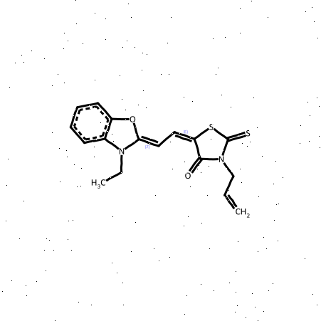 C=CCN1C(=O)/C(=C\C=C2/Oc3ccccc3N2CC)SC1=S